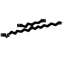 CC(C)CCCCCCCCCCCCCCC(=O)O.OCCNCCO